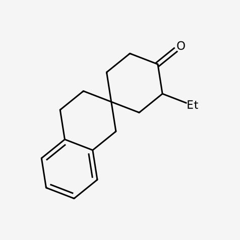 CCC1CC2(CCC1=O)CCc1ccccc1C2